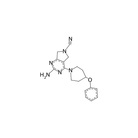 N#CN1Cc2nc(N)nc(N3CCC(Oc4ccccc4)CC3)c2C1